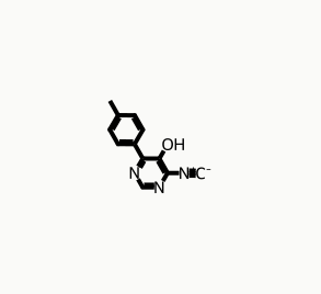 [C-]#[N+]c1ncnc(-c2ccc(C)cc2)c1O